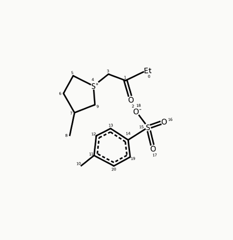 CCC(=O)C[S+]1CCC(C)C1.Cc1ccc(S(=O)(=O)[O-])cc1